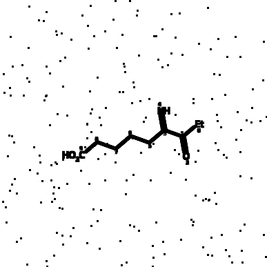 CCC(=O)C(=N)CCCCC(=O)O